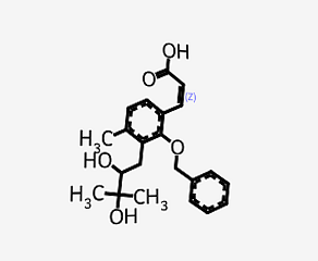 Cc1ccc(/C=C\C(=O)O)c(OCc2ccccc2)c1CC(O)C(C)(C)O